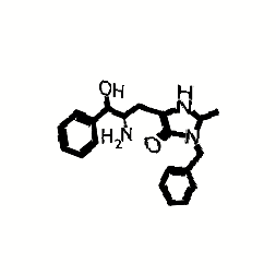 CC1NC(C[C@H](N)C(O)c2ccccc2)C(=O)N1Cc1ccccc1